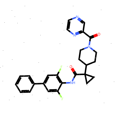 O=C(c1cnccn1)N1CCC(C2(C(=O)Nc3c(F)cc(-c4ccccc4)cc3F)CC2)CC1